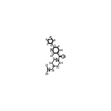 Cc1nc(-c2ccsc2)ccc1C(=O)N1CCC(CN(C)C)CC1